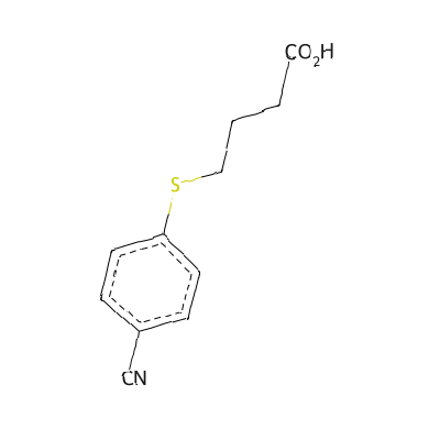 N#Cc1ccc(SCCCC(=O)O)cc1